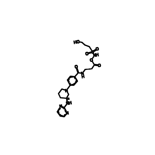 O=C(CCNC(=O)c1ccc(N2CCC[C@H](Nc3ncccn3)C2)cc1)ONS(=O)(=O)CCCO